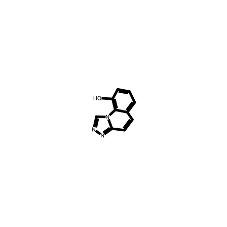 Oc1cccc2ccc3nncn3c12